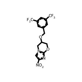 O=[N+]([O-])c1cn2c(n1)OCC(OCc1cc(C(F)(F)F)cc(C(F)(F)F)c1)C2